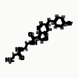 CCC(=O)NCCNC(=O)c1cnn2cc(Cc3ccc(Br)cc3)cnc12